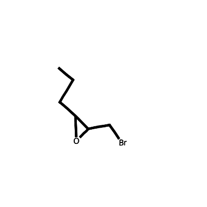 CCCC1OC1CBr